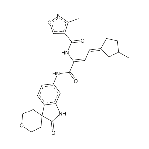 Cc1nocc1C(=O)NC(=CC=C1CCC(C)C1)C(=O)Nc1ccc2c(c1)NC(=O)C21CCOCC1